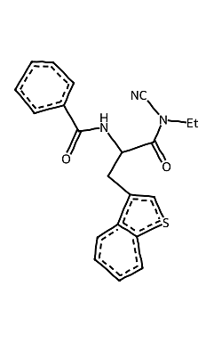 CCN(C#N)C(=O)C(Cc1csc2ccccc12)NC(=O)c1ccccc1